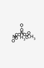 CC1(C)c2ccccc2-c2cc(N(c3ccc(-c4ccccc4)cc3)c3ccc4c(ccc5nc(-c6ccccc6)oc54)c3)ccc21